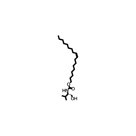 CCCCCCCC/C=C\CCCCCCCCOC(=O)N[C@H](CO)C(C)C